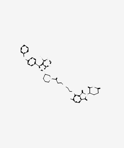 Nc1ncnc2c1c(-c1ccc(Oc3ccccc3)cc1)nn2[C@@H]1CCCN(C(=O)CCCCCSc2c(F)ccc3c2C(=O)N(C2CCC(=O)NC2=O)C3=O)C1